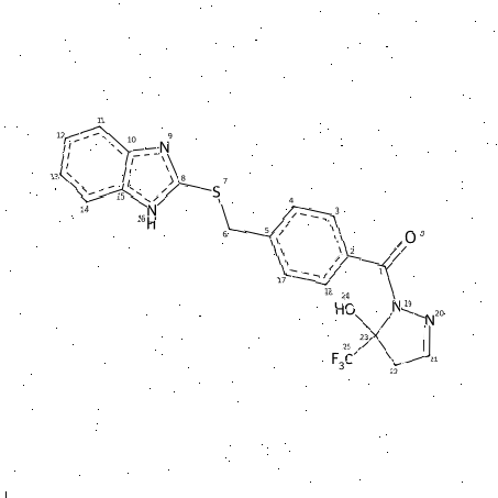 O=C(c1ccc(CSc2nc3ccccc3[nH]2)cc1)N1N=CCC1(O)C(F)(F)F